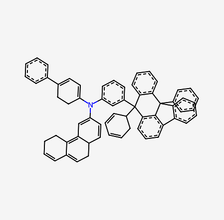 C1=CCC(C2(c3cccc(N(C4=CC5=C6CCC=CC6=CCC5C=C4)C4=CC=C(c5ccccc5)CC4)c3)c3ccccc3C3(c4ccccc4)c4ccccc4-c4cccc2c43)C=C1